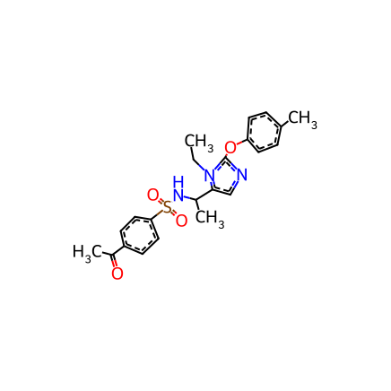 CCn1c(C(C)NS(=O)(=O)c2ccc(C(C)=O)cc2)cnc1Oc1ccc(C)cc1